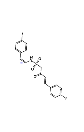 O=C(C=Cc1ccc(I)cc1)CS(=O)(=O)N/C=C\c1ccc(I)cc1